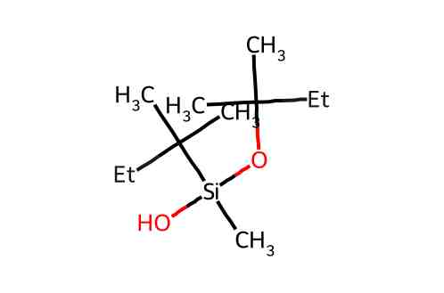 CCC(C)(C)O[Si](C)(O)C(C)(C)CC